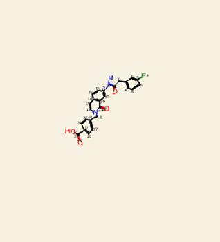 O=C(Cc1cccc(F)c1)Nc1ccc2ccn(Cc3ccc(C(=O)O)cc3)c(=O)c2c1